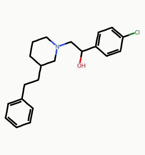 OC(CN1CCCC(CCc2ccccc2)C1)c1ccc(Cl)cc1